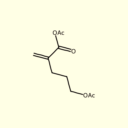 C=C(CCCOC(C)=O)C(=O)OC(C)=O